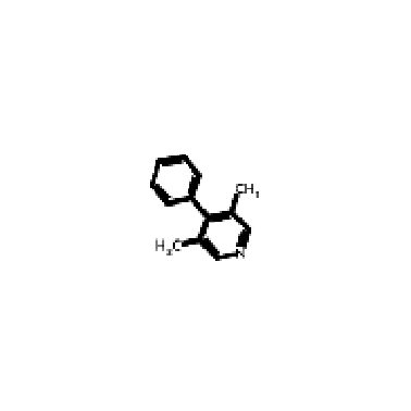 Cc1cncc(C)c1-c1c[c]ccc1